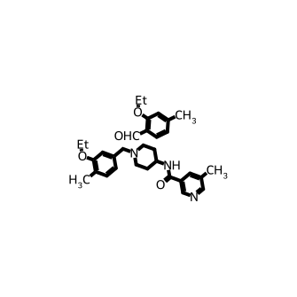 CCOc1cc(C)ccc1C=O.CCOc1cc(CN2CCC(NC(=O)c3cncc(C)c3)CC2)ccc1C